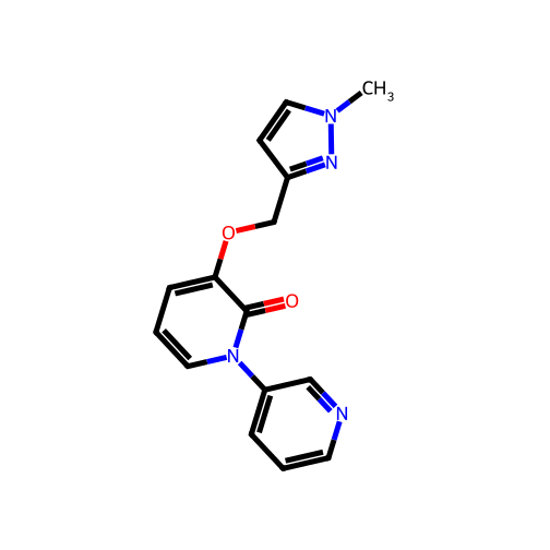 Cn1ccc(COc2cccn(-c3cccnc3)c2=O)n1